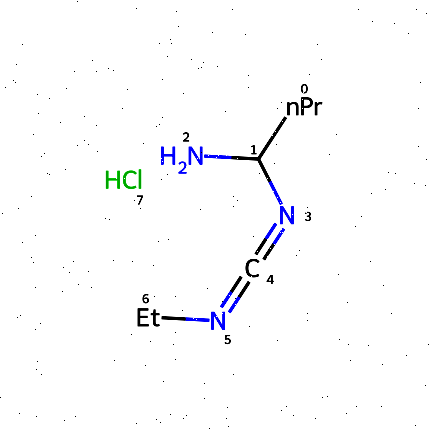 CCCC(N)N=C=NCC.Cl